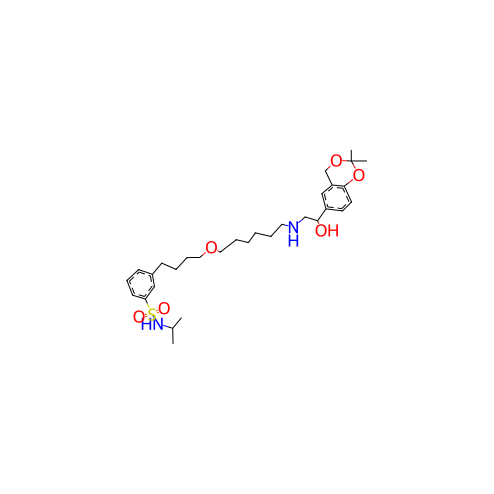 CC(C)NS(=O)(=O)c1cccc(CCCCOCCCCCCNCC(O)c2ccc3c(c2)COC(C)(C)O3)c1